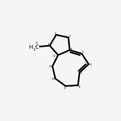 CC1CC/C2=C/C=C/CCCCC21